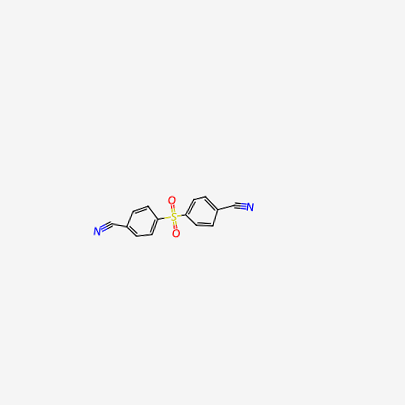 N#Cc1ccc(S(=O)(=O)c2ccc(C#N)cc2)cc1